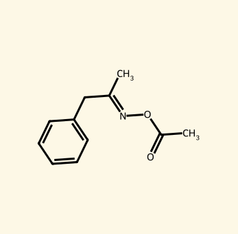 CC(=O)ON=C(C)Cc1ccccc1